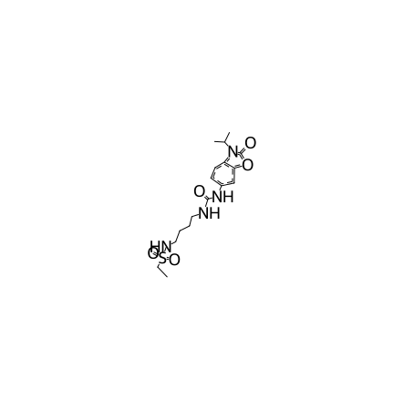 CCS(=O)(=O)NCCCCNC(=O)Nc1ccc2c(c1)oc(=O)n2C(C)C